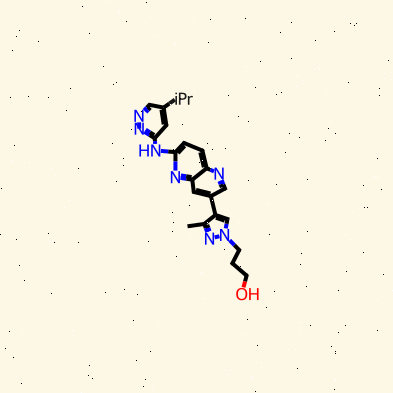 Cc1nn(CCCO)cc1-c1cnc2ccc(Nc3cc(C(C)C)cnn3)nc2c1